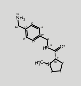 CN1CCC[C@H]1C(=O)NCc1ccc(CN)cc1